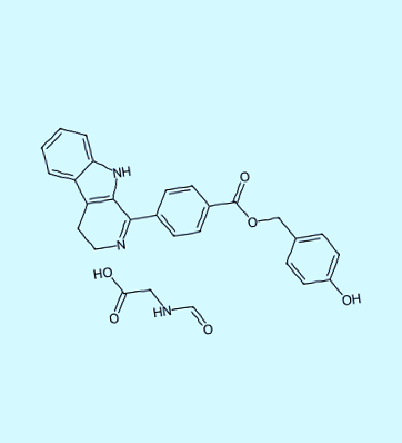 O=C(OCc1ccc(O)cc1)c1ccc(C2=NCCc3c2[nH]c2ccccc32)cc1.O=CNCC(=O)O